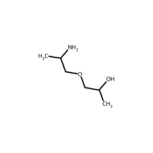 CC(N)COCC(C)O